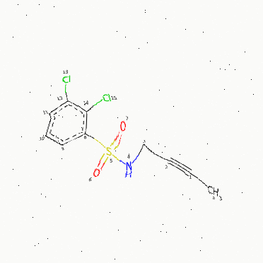 CC#CCNS(=O)(=O)c1cccc(Cl)c1Cl